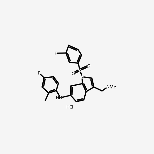 CNCc1cn(S(=O)(=O)c2cccc(F)c2)c2cc(Nc3ccc(F)cc3C)ccc12.Cl